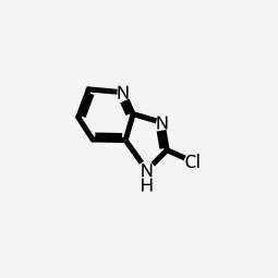 Clc1nc2ncccc2[nH]1